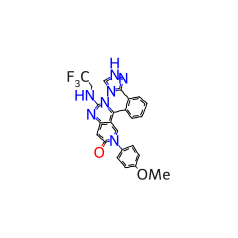 COc1ccc(-n2cc3c(-c4ccccc4-c4nc[nH]n4)nc(NCC(F)(F)F)nc3cc2=O)cc1